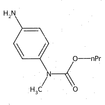 CCCOC(=O)N(C)c1ccc(N)cc1